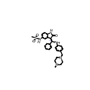 CN1CCN(Cc2ccc(N/C(=C3\C(=O)Nc4ccc(NS(C)(=O)=O)cc43)c3ccccc3)cc2)CC1